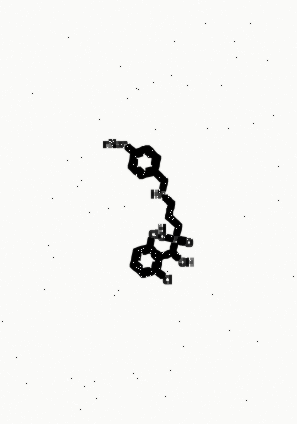 CCCCCCCCCc1ccc(CNCCCP(=O)(O)C(O)c2c(Cl)cccc2Cl)cc1